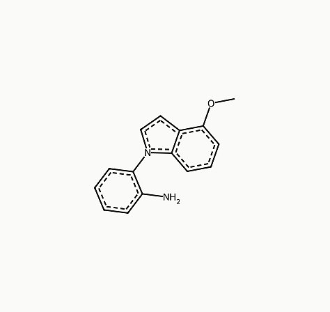 COc1cccc2c1ccn2-c1ccccc1N